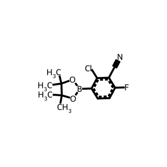 CC1(C)OB(c2ccc(F)c(C#N)c2Cl)OC1(C)C